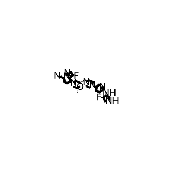 C[C@@H]1CN(c2ccc(C#N)n3ncc(F)c23)C[C@H](CN2CCN(c3ccc(N[C@H]4CNC[C@H]4F)nc3)CC2)O1